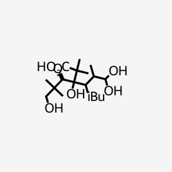 CCC(C)C(C(C)C(O)O)C(O)(C(=O)C(C)(C)CO)C(C)(C)C(=O)O